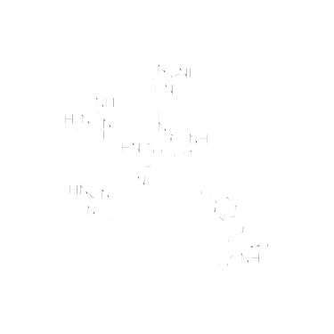 N=C(N)NCCC[C@H](NC(=O)[C@H](CCCNC(=N)N)NC(=O)[C@H](CCCNC(=N)N)NC(=O)CCCOc1ccc(/C=C2\SC(=O)NC2=O)cc1)C(N)=O